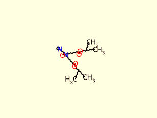 CCCCCC(CCCCC)CCCOC(=O)CCCCCCCN(CCCCCCCC(=O)OCCCC(CCCCC)CCCCC)C(=O)CCCN1CCCC1